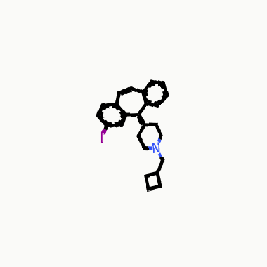 Ic1ccc2c(c1)C(=C1CCN(CC3CCC3)CC1)c1ccccc1C=C2